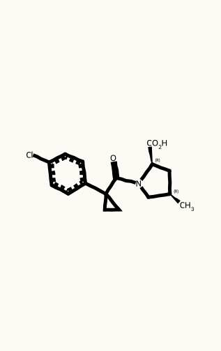 C[C@@H]1C[C@H](C(=O)O)N(C(=O)C2(c3ccc(Cl)cc3)CC2)C1